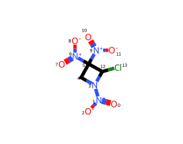 O=[N+]([O-])N1CC([N+](=O)[O-])([N+](=O)[O-])C1Cl